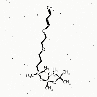 C=CC=COCCOCCC[Si](C)(C)O[Si](C)(C)O[Si](C)(C)C